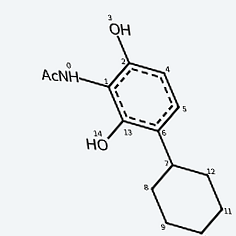 CC(=O)Nc1c(O)ccc(C2CCCCC2)c1O